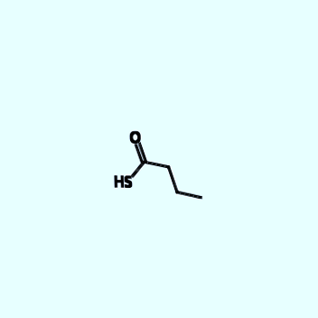 CCCC(=O)S